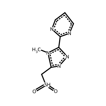 Cn1c(C[SH](=O)=O)nnc1-c1ncccn1